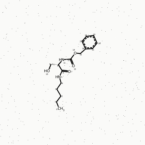 CCCCCNC(=O)[C@H](CO)NC(=O)OCc1ccccc1